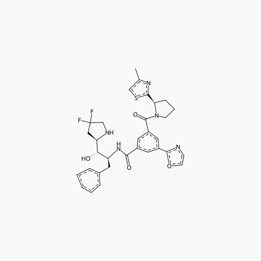 Cc1csc([C@H]2CCCN2C(=O)c2cc(C(=O)N[C@@H](Cc3ccccc3)[C@H](O)[C@H]3CC(F)(F)CN3)cc(-c3ncco3)c2)n1